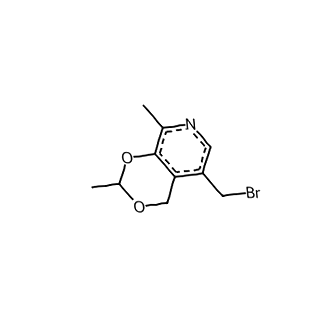 Cc1ncc(CBr)c2c1OC(C)OC2